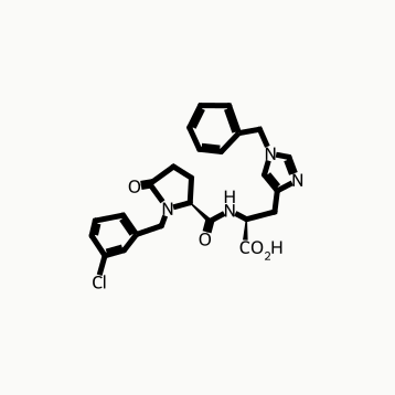 O=C(O)[C@H](Cc1cn(Cc2ccccc2)cn1)NC(=O)[C@@H]1CCC(=O)N1Cc1cccc(Cl)c1